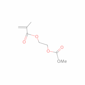 C=C(C)C(=O)OCCOC(=O)OC